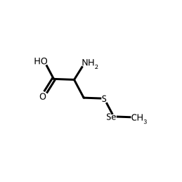 C[Se]SCC(N)C(=O)O